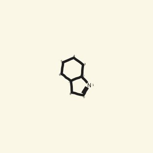 C1=NC2CCCCC2C1